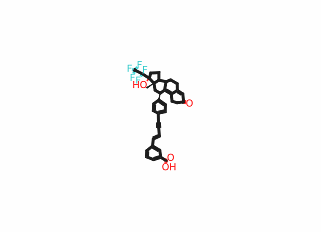 C[C@]12C[C@H](c3ccc(C#C/C=C/c4cccc(C(=O)O)c4)cc3)C3=C4CCC(=O)C=C4CCC3C1CC[C@@]2(O)C(F)(F)C(F)(F)F